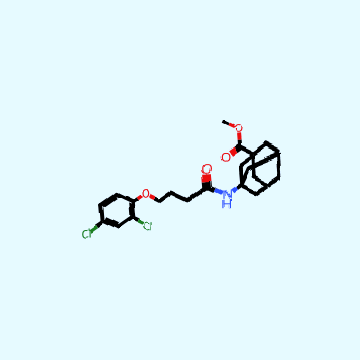 COC(=O)C12CC3CC(CC(NC(=O)CCCOc4ccc(Cl)cc4Cl)(C3)C1)C2